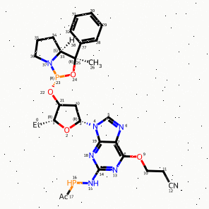 CC[C@H]1O[C@@H](n2cnc3c(OCCC#N)nc(NPC(C)=O)nc32)CC1O[P@@]1O[C@](C)(c2ccccc2)[C@@H]2CCCN21